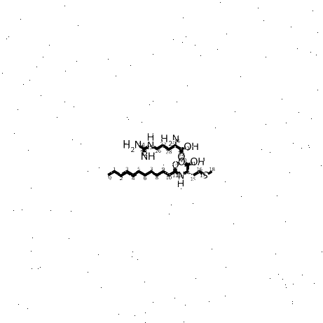 CCCCCCCCCCCC(=O)N[C@@H](CCSC)C(=O)O.N=C(N)NCCC[C@H](N)C(=O)O